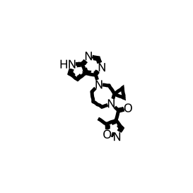 Cc1oncc1C(=O)N1CCCN(c2ncnc3[nH]ccc23)CC12CC2